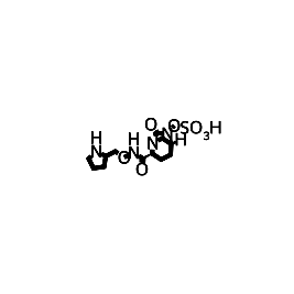 O=C(NOCC1CCCN1)[C@@H]1CC[C@@H]2CN1C(=O)N2OS(=O)(=O)O